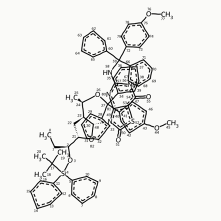 CC[C@H](O[Si](c1ccccc1)(c1ccccc1)C(C)(C)C)[C@@H]1C[C@@H]([C@@H](C)OC(c2ccccc2)(c2ccccc2)c2ccc(OC)cc2)[C@H](n2c(=O)sc3c(=O)[nH]c(NC(c4ccccc4)(c4ccccc4)c4ccc(OC)cc4)nc32)O1